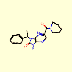 CC(c1ccccc1)n1c(=O)[nH]c2ncc(C(=O)N3CCCCC3)nc21